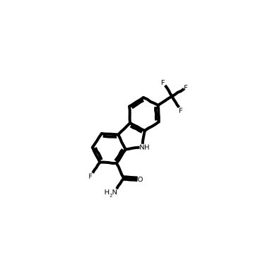 NC(=O)c1c(F)ccc2c1[nH]c1cc(C(F)(F)F)ccc12